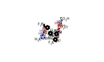 CCOC(=O)COC(=O)c1cc(Oc2ccc(C(F)(F)F)cc2Cl)ccc1[N+](=O)[O-].COc1c(Cl)ccc(Cl)c1C(=O)O.COc1nc(C)nc(NC(=O)NS(=O)(=O)c2ccccc2CCC(F)(F)F)n1.O=C(O)CNCP(=O)(O)O